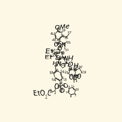 CCOC(=O)COP(=O)(Oc1ccccc1)c1ccc(CNC[C@H](NC(=O)O[C@H]2CO[C@H]3OCC[C@H]32)[C@@H](CN2CC(C)c3cc(OC)ccc3S2(=O)=O)O[Si](CC)(CC)CC)cc1